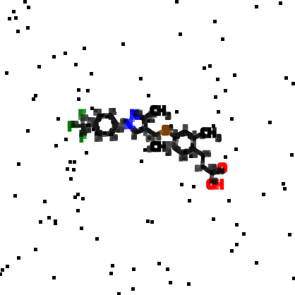 Cc1cc(S[C@H](C)c2cn(-c3ccc(C(F)(F)F)cc3)nc2C)ccc1CCC(=O)O